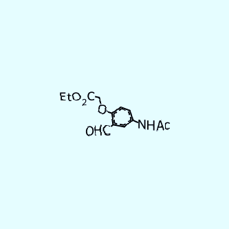 CCOC(=O)COc1ccc(NC(C)=O)cc1C=O